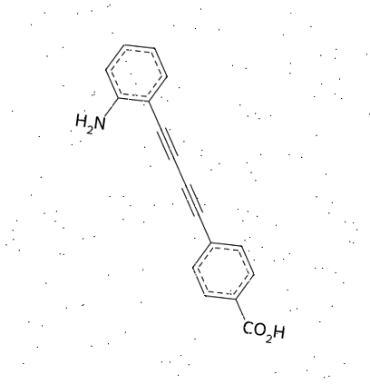 Nc1ccccc1C#CC#Cc1ccc(C(=O)O)cc1